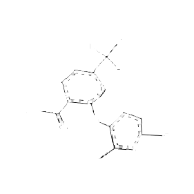 Cc1nc(F)ccc1Oc1cc(C(F)(F)F)ccc1C(=O)O